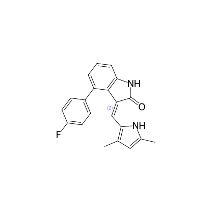 Cc1cc(C)c(/C=C2\C(=O)Nc3cccc(-c4ccc(F)cc4)c32)[nH]1